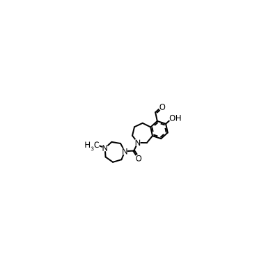 CN1CCCN(C(=O)N2CCCc3c(ccc(O)c3C=O)C2)CC1